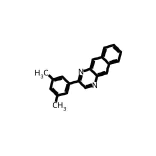 Cc1cc(C)cc(-c2cnc3cc4ccccc4cc3n2)c1